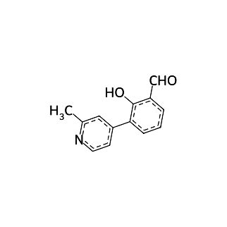 Cc1cc(-c2cccc(C=O)c2O)ccn1